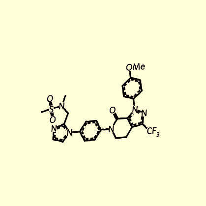 COc1ccc(-n2nc(C(F)(F)F)c3c2C(=O)N(c2ccc(-n4ccnc4CN(C)S(C)(=O)=O)cc2)CC3)cc1